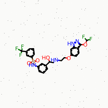 O=S(=O)(Nc1cccc(C(O)CNCCOc2ccc3c(OC(F)F)n[nH]c3c2)c1)c1cccc(C(F)(F)F)c1